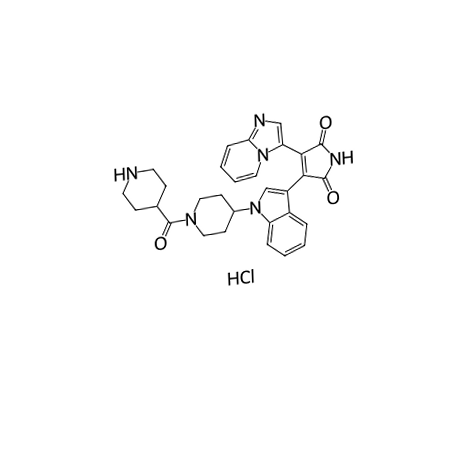 Cl.O=C1NC(=O)C(c2cnc3ccccn23)=C1c1cn(C2CCN(C(=O)C3CCNCC3)CC2)c2ccccc12